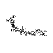 CC(C)Oc1ccc(-c2nc(-c3ccc(COC(=O)CC[C@H](N)C(=O)OCc4ccc(-c5noc(-c6ccc(OC(C)C)c(C#N)c6)n5)c(Cl)c4)cc3Cl)no2)cc1C#N